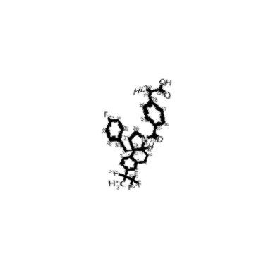 CC(F)(c1ccc2c(c1)CC[C@H]1N(C(=O)c3ccc(C(O)C(=O)O)cc3)CC[C@@]21Cc1ccc(F)cc1)C(F)(F)F